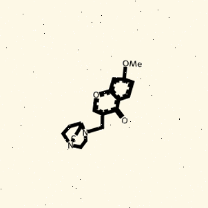 COc1ccc2c(=O)c(CN3CCN4CCC3CC4)coc2c1